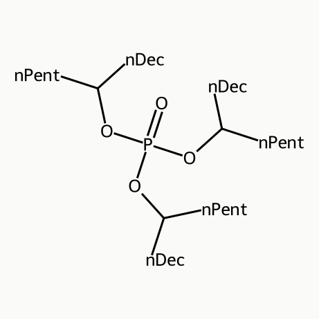 CCCCCCCCCCC(CCCCC)OP(=O)(OC(CCCCC)CCCCCCCCCC)OC(CCCCC)CCCCCCCCCC